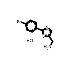 Cl.NCc1cnc(-c2ccc(Br)cc2)s1